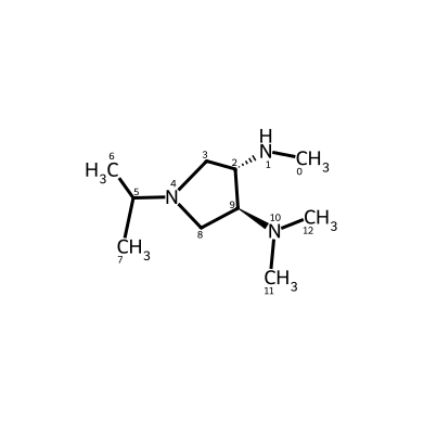 CN[C@H]1CN(C(C)C)C[C@@H]1N(C)C